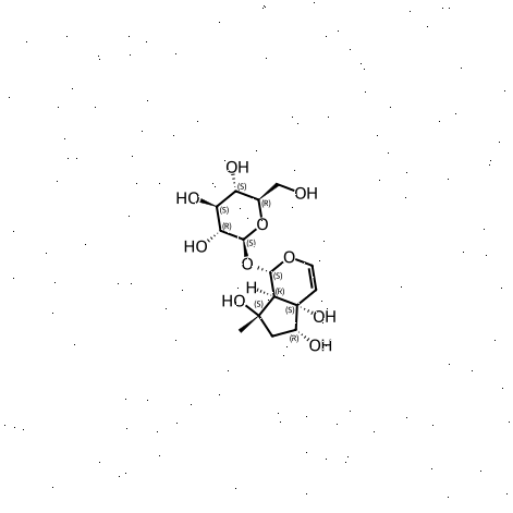 C[C@]1(O)C[C@@H](O)[C@]2(O)C=CO[C@@H](O[C@@H]3O[C@H](CO)[C@@H](O)[C@H](O)[C@H]3O)[C@@H]21